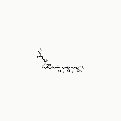 CCOC(=O)CCNC(=O)NC(C=O)CSC/C=C(\C)CC/C=C(\C)CCC=C(C)C